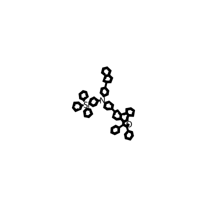 c1ccc(-c2oc3c4ccccc4c4cc(-c5ccc(N(c6ccc(-c7ccc8ccccc8c7)cc6)c6ccc([Si](c7ccccc7)(c7ccccc7)c7ccccc7)cc6)cc5)ccc4c3c2-c2ccccc2)cc1